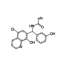 CCCC(=O)NC(c1cccc(O)c1)c1cc(Cl)c2cccnc2c1O